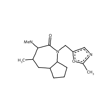 CNC1C(=O)N(Cc2cnc(C)o2)C2CCCC2CC1C